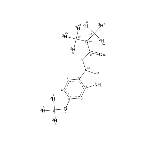 [2H]C([2H])([2H])Oc1ccc2c(c1)NCC2CC(=O)N(C([2H])([2H])[2H])C([2H])([2H])[2H]